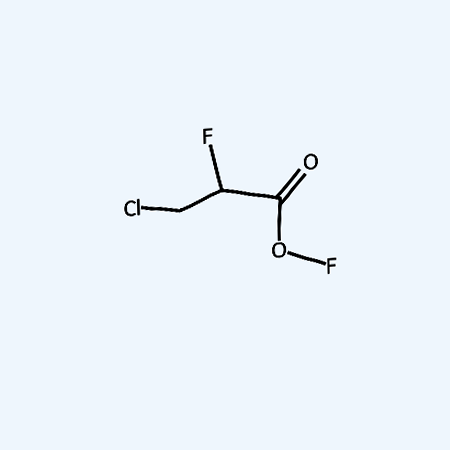 O=C(OF)C(F)CCl